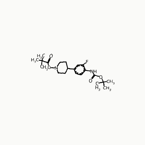 CC(C)(C)OC(=O)Nc1ccc(C2CCN(OC(=O)C(C)(C)C)CC2)cc1F